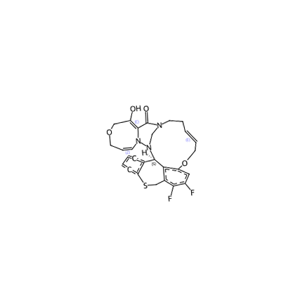 O=C1/C2=C(\O)COC/C=C\N2N2CN1CC/C=C/COc1cc(F)c(F)c3c1[C@H]2c1ccccc1SC3